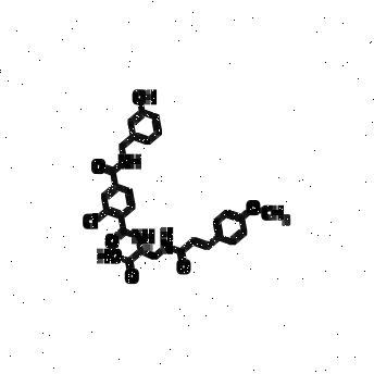 COc1ccc(C=CC(=O)NC[C@H](NC(=O)c2ccc(C(=O)NCc3cccc(O)c3)cc2Cl)C(=O)O)cc1